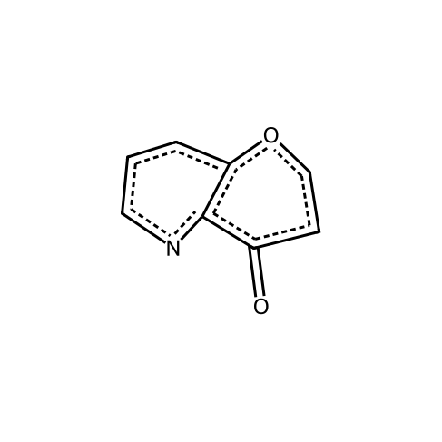 O=c1ccoc2cccnc12